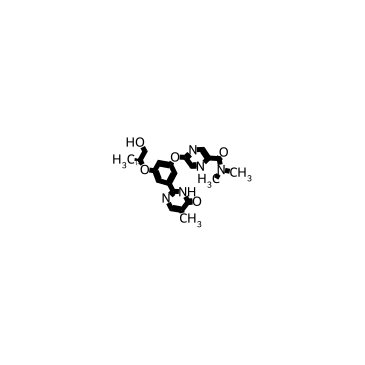 Cc1cnc(-c2cc(Oc3cnc(C(=O)N(C)C)cn3)cc(O[C@@H](C)CO)c2)[nH]c1=O